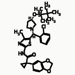 Cc1nc(NC(=O)C2(c3ccc4c(c3)OCO4)CC2)sc1[C@@H](c1ccccc1Cl)N1CC[C@H](O[Si](C)(C)C(C)(C)C)C1